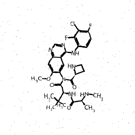 CN[C@@H](C)C(=O)N[C@H](C(=O)N(C(=O)[C@@H]1CCN1)c1cc2c(Nc3ccc(F)c(Cl)c3F)ncnc2cc1OC)C(C)(C)C